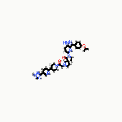 CC(C)Oc1ccc(-c2n[nH]c3ccc(N4CC[C@]5(CCN(CC(=O)N6CC=C(c7ccc(-c8ncn(C)n8)cn7)CC6)C5)C4=O)nc23)cc1